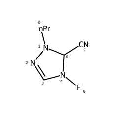 CCCN1N=CN(F)C1C#N